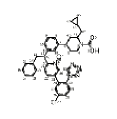 O=C(O)N1CCC(c2cccc([C@H](Cc3ccccc3)c3ccc(-c4cc(Cl)ccc4-n4cnnn4)c[n+]3[O-])c2)CC1CC1CC1